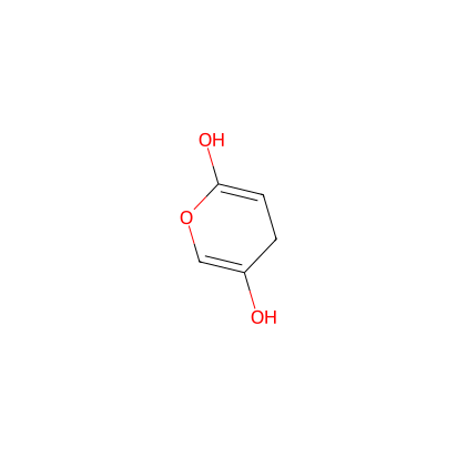 OC1=COC(O)=CC1